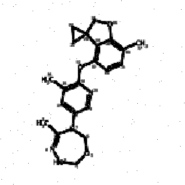 CC1=NNCOCN1c1cnc(Oc2ccc(C)c3c2C2(CC2)CO3)c(C)c1